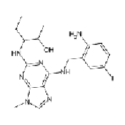 CCC(Nc1nc(NCc2cc(I)ccc2N)c2ncn(C)c2n1)C(C)O